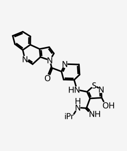 CC(C)NC(=N)c1c(O)nsc1Nc1ccnc(C(=O)n2ccc3c4ccccc4ncc32)c1